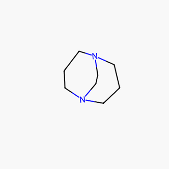 C1CN2CCCN(C1)CC2